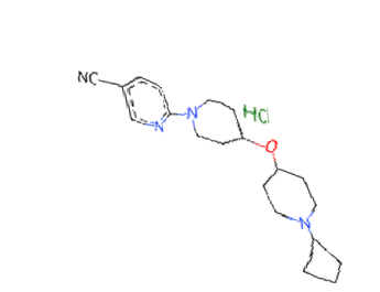 Cl.N#Cc1ccc(N2CCC(OC3CCN(C4CCC4)CC3)CC2)nc1